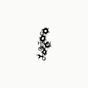 C=C(C)C(=O)N1CCC(N(N=O)c2ccncc2Nc2ccc(Oc3ccccc3)cc2)C1